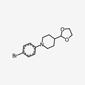 Brc1ccc(N2CCC(C3OCCO3)CC2)cc1